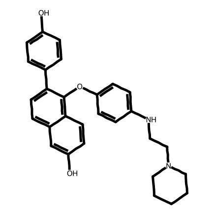 Oc1ccc(-c2ccc3cc(O)ccc3c2Oc2ccc(NCCN3CCCCC3)cc2)cc1